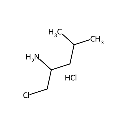 CC(C)CC(N)CCl.Cl